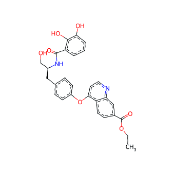 CCOC(=O)c1ccc2c(Oc3ccc(C[C@@H](CO)NC(=O)c4cccc(O)c4O)cc3)ccnc2c1